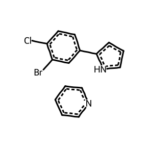 Clc1ccc(-c2ccc[nH]2)cc1Br.c1ccncc1